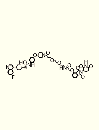 C[C@@H](C(O)Nc1ccc(OC2CCN(C(=O)CCOCCOCCNC(=O)COc3cccc4c3C(=O)N(C3CCC(=O)NC3=O)C4=O)CC2)cc1)[C@H]1CC[C@@H](c2ccnc3ccc(F)cc32)CC1